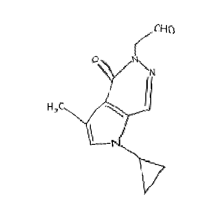 Cc1cn(C2CC2)c2cnn(CC=O)c(=O)c12